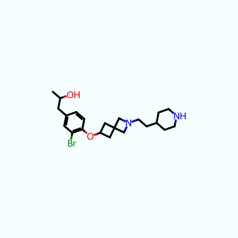 CC(O)Cc1ccc(OC2CC3(C2)CN(CCC2CCNCC2)C3)c(Br)c1